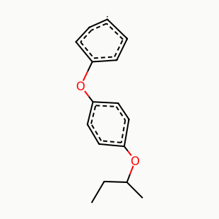 CCC(C)Oc1ccc(Oc2cc[c]cc2)cc1